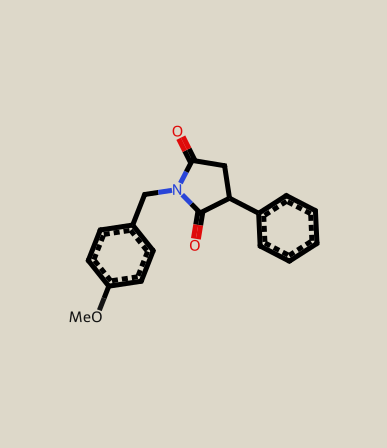 COc1ccc(CN2C(=O)CC(c3ccccc3)C2=O)cc1